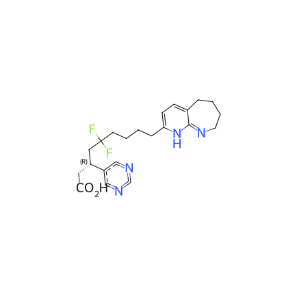 O=C(O)C[C@H](CC(F)(F)CCCCC1=CC=C2CCCCN=C2N1)c1cncnc1